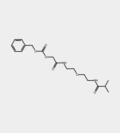 CC(C)C(=O)NCCOCCNC(=O)COC(=O)OCc1ccccc1